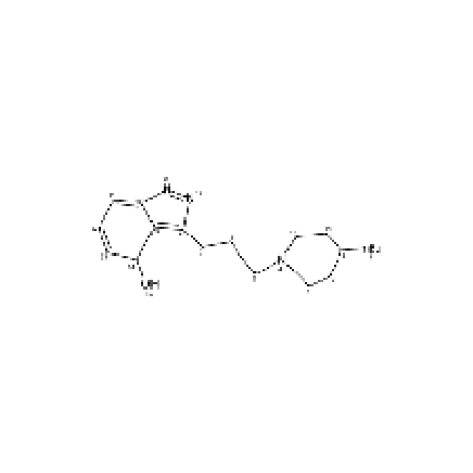 CCCCC1CCN(CCCC2=C3C(=CC=CC3O)N=N2)CC1